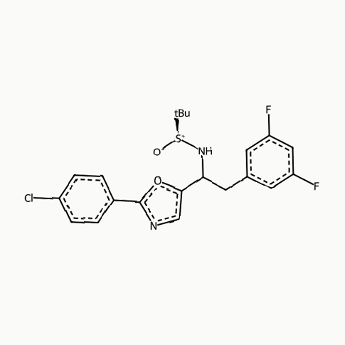 CC(C)(C)[S@+]([O-])NC(Cc1cc(F)cc(F)c1)c1cnc(-c2ccc(Cl)cc2)o1